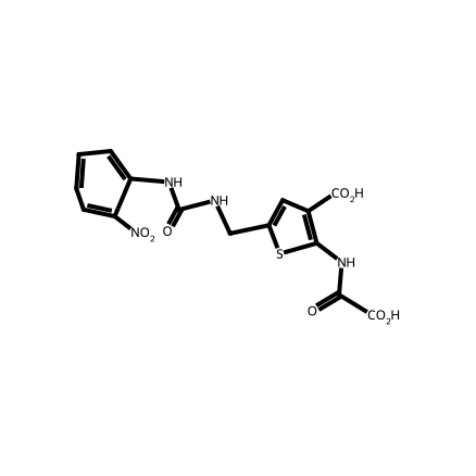 O=C(NCc1cc(C(=O)O)c(NC(=O)C(=O)O)s1)Nc1ccccc1[N+](=O)[O-]